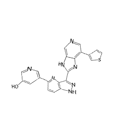 Oc1cncc(-c2ccc3[nH]nc(-c4nc5c(-c6ccsc6)cncc5[nH]4)c3n2)c1